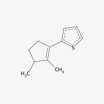 CC1=C(c2cccs2)CCC1C